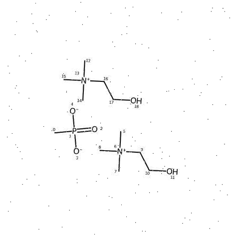 CP(=O)([O-])[O-].C[N+](C)(C)CCO.C[N+](C)(C)CCO